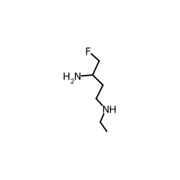 CCNCCC(N)CF